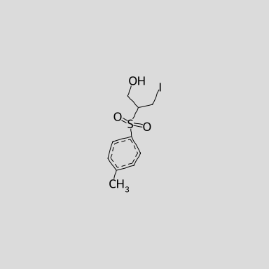 Cc1ccc(S(=O)(=O)C(CO)CI)cc1